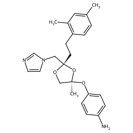 Cc1ccc(CC[C@]2(Cn3ccnc3)OC[C@](C)(Oc3ccc(N)cc3)O2)c(C)c1